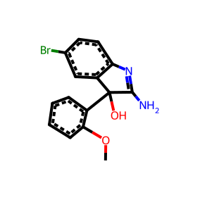 COc1ccccc1C1(O)C(N)=Nc2ccc(Br)cc21